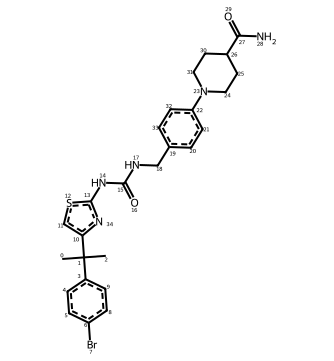 CC(C)(c1ccc(Br)cc1)c1csc(NC(=O)NCc2ccc(N3CCC(C(N)=O)CC3)cc2)n1